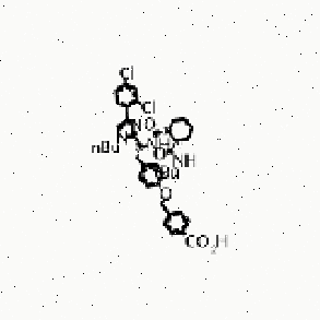 CCCCn1cc(-c2ccc(Cl)cc2Cl)nc1[C@H](Cc1ccc(OCc2ccc(C(=O)O)cc2)cc1)NC(=O)[C@@H]1CCCC[C@H]1C(=O)NC(C)(C)C